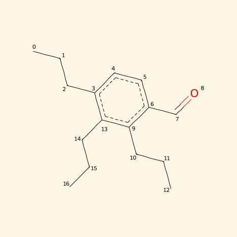 CCCc1ccc(C=O)c(CCC)c1CCC